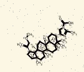 [CH2][C@]12CC[C@@H](C(=C)COC)[C@@H]1[C@H]1CC[C@@H]3[C@@]4(C)CC[C@H](c5cn(C(=O)O)c(C)n5)C(C)(C)[C@@H]4CC[C@@]3(C)[C@]1(C)CC2